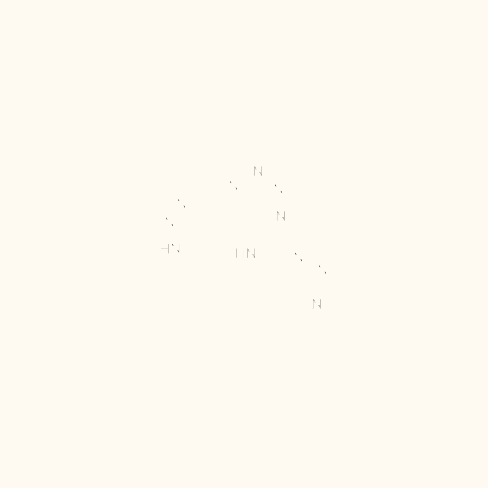 c1cc(Nc2nnnnc2-c2c[nH]nn2)nnn1